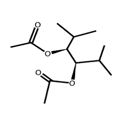 CC(=O)O[C@H](C(C)C)[C@@H](OC(C)=O)C(C)C